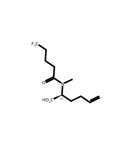 C=CCC[C@@H](C(=O)O)N(C)C(=O)CCCC(F)(F)F